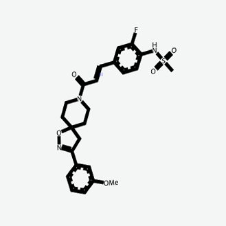 COc1cccc(C2=NOC3(CCN(C(=O)/C=C/c4ccc(NS(C)(=O)=O)c(F)c4)CC3)C2)c1